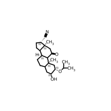 CC(C)O[C@H]1C[C@@]2(C)C(CC[C@@H]3C2C(=O)C[C@@]2(C)C3CC[C@@H]2C#N)C[C@@H]1O